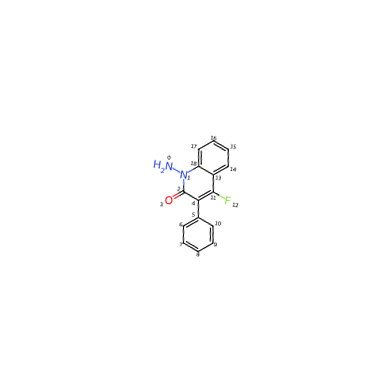 Nn1c(=O)c(-c2ccccc2)c(F)c2ccccc21